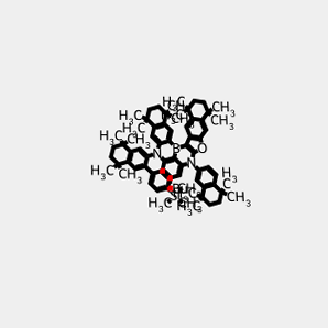 CC(C)(C)c1cc2c3c(c1)N(c1ccc4c(c1)C(C)(C)CCC4(C)C)c1oc4cc5c(cc4c1B3c1cc3c(cc1N2c1cc2c(cc1-c1ccc([Si](C)(C)C)cc1)C(C)(C)CCC2(C)C)C(C)(C)CCC3(C)C)C(C)(C)CCC5(C)C